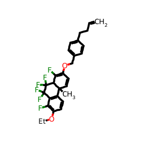 C=CCCc1ccc(COC2=C(F)C3C(C)(C=C2)c2ccc(OCC)c(F)c2C(F)(F)C3(F)F)cc1